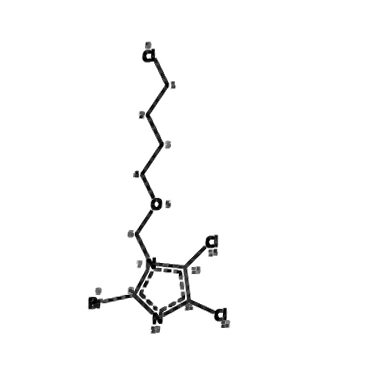 ClCCCCOCn1c(Br)nc(Cl)c1Cl